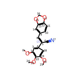 COc1cc(/C(C#N)=C/c2ccc3c(c2)OCO3)cc(OC)c1OC